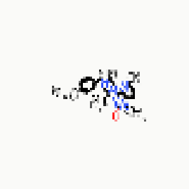 CCC(c1ccc(OC)cc1)N1C[C@H](C)N(c2nc(=O)n(C)c3ccc(C#N)nc23)C[C@H]1CC